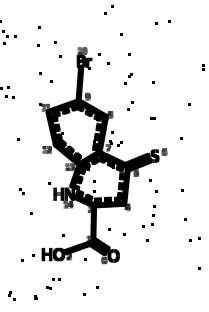 O=C(O)c1cc(=S)c2cc(Br)ccc2[nH]1